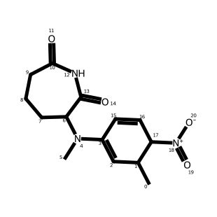 CC1C=C(N(C)C2CCCC(=O)NC2=O)C=CC1[N+](=O)[O-]